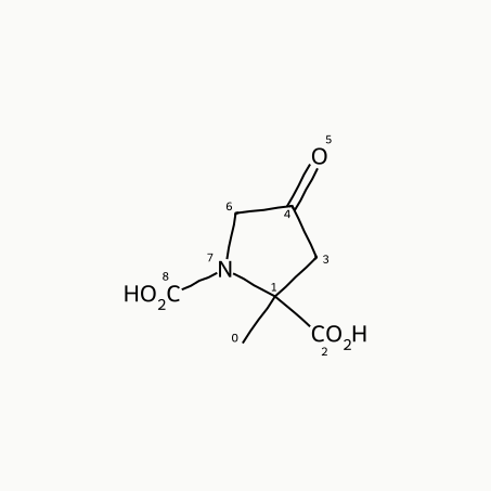 CC1(C(=O)O)CC(=O)CN1C(=O)O